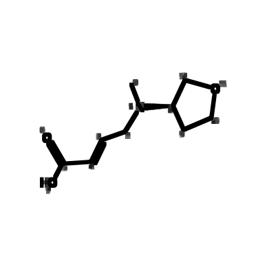 CN(CC=CC(=O)O)[C@@H]1CCOC1